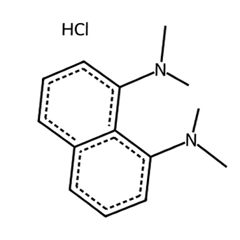 CN(C)c1cccc2cccc(N(C)C)c12.Cl